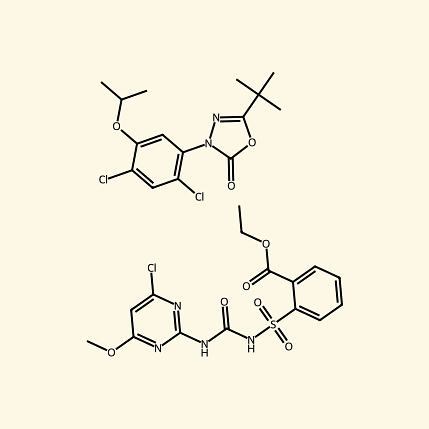 CC(C)Oc1cc(-n2nc(C(C)(C)C)oc2=O)c(Cl)cc1Cl.CCOC(=O)c1ccccc1S(=O)(=O)NC(=O)Nc1nc(Cl)cc(OC)n1